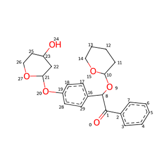 O=C(c1ccccc1)C(OC1CCCCO1)c1ccc(OC2CC(O)CCO2)cc1